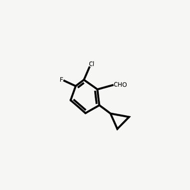 O=Cc1c(C2CC2)ccc(F)c1Cl